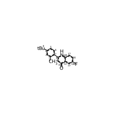 Cc1cc(C(C)(C)C)ccc1-c1cc(=O)c2cc(F)ccc2[nH]1